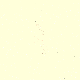 CC(C)(C)OC(=O)N1CCC(COCC(NC(=O)c2ccc3c(Cl)c[nH]c3c2)C2CCCC2)CC1